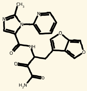 Cc1ncc(C(=O)NC(Cc2coc3cocc23)C(=O)C(N)=O)n1-c1ccccn1